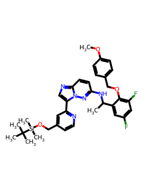 COc1ccc(COc2c(F)cc(F)cc2C(C)Nc2ccc3ncc(-c4cc(CO[Si](C)(C)C(C)(C)C)ccn4)n3n2)cc1